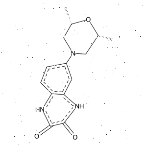 C[C@@H]1CN(c2ccc3[nH]c(=O)c(=O)[nH]c3c2)C[C@H](C)O1